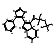 CC(C)(C)CC(C)(C)Nc1c(-c2sccc2-c2cccnc2)nc2cnccn12